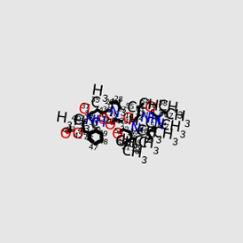 CCCC(C)(C)N(C)[C@H](C(=O)N[C@H](C(=O)N(C)[C@@H]([C@@H](C)CC)[C@@H](CC(=O)N1CCC[C@H]1[C@H](OC)[C@@H](C)C(=O)N[C@H](C)[C@@H](OC=O)c1ccccc1)OC)C(C)C)C(C)C